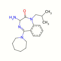 CC(C)CN1C(=O)C(N)N=C(N2CCCCCC2)c2ccccc21